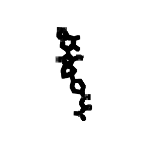 Cc1c(-c2[nH]c3ccc(C4CCC(NCC(=O)N(C)C)CC4)cc3c2C(C)C)cn2cnnc2c1C